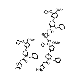 COc1ccc(N2CCN(C(=O)Cc3cn[nH]c3)[C@@H](Cc3ccccc3)C2)cc1OC1CCC1.COc1ccc(N2CCN(C(=O)Cc3cnc(C)o3)[C@@H](Cc3ccccc3)C2)cc1OC1CCC1.COc1ccc(N2CCN(C(=O)Cc3nc(C(C)C)n[nH]3)C(Cc3ccccc3)C2)cc1OC1CCC1